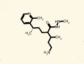 CNNC(=O)C(CC[C@H](C)c1cccnc1C)C(C)CCN